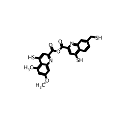 COc1cc(C)c2c(S)cc(C(=O)OC(=O)c3cc(S)c4ccc(CS)cc4n3)nc2c1